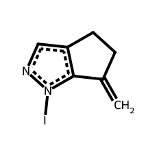 C=C1CCc2cnn(I)c21